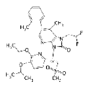 CCOc1nc([C@@H](CS(C)(=O)=O)n2c(=O)n(CC(F)F)c3c(C)c(-c4ccccc4C)cnc32)ccc1OC(C)C